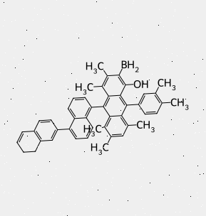 Bc1c(C)c(C)c2c(-c3cccc4c(-c5ccc6c(c5)CCC=C6)cccc34)c3c(C)c(C)cc(C)c3c(-c3ccc(C)c(C)c3)c2c1O